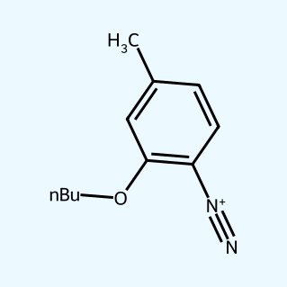 CCCCOc1cc(C)ccc1[N+]#N